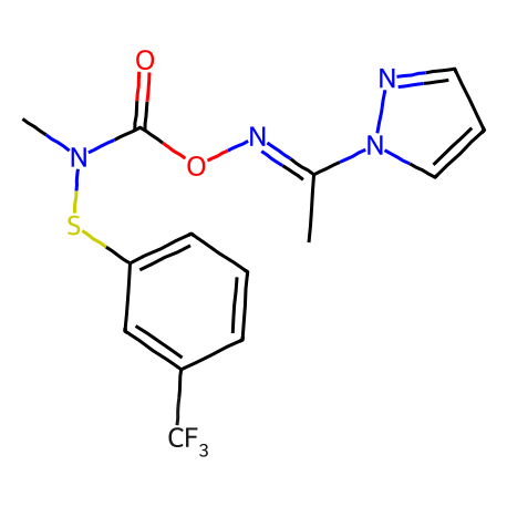 CC(=NOC(=O)N(C)Sc1cccc(C(F)(F)F)c1)n1cccn1